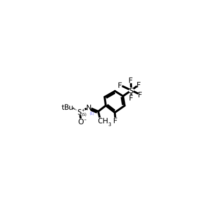 C/C(=N\[S@+]([O-])C(C)(C)C)c1ccc(S(F)(F)(F)(F)F)cc1F